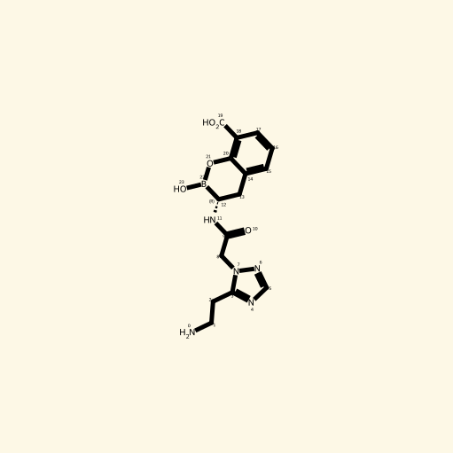 NCCc1ncnn1CC(=O)N[C@H]1Cc2cccc(C(=O)O)c2OB1O